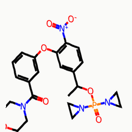 CC(OP(=O)(N1CC1)N1CC1)c1ccc([N+](=O)[O-])c(Oc2cccc(C(=O)N3CCOCC3)c2)c1